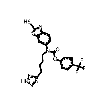 O=C(Oc1ccc(C(F)(F)F)cc1)N(CCCCc1nn[nH]n1)c1ccc2nc(S)sc2c1